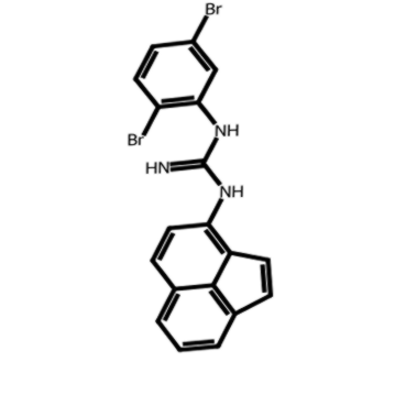 N=C(Nc1cc(Br)ccc1Br)Nc1ccc2cccc3c2c1C=C3